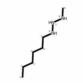 CCCCCCNNNC